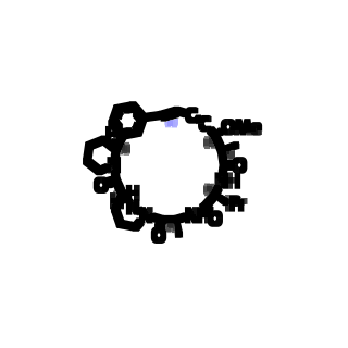 CO[C@@H]1CC/C=C/c2cccc(c2)[C@@H]2CCCCN2C(=O)[C@@H]2CCCN(N2)C(=O)[C@H](C)NC(=O)[C@H](C(C)C)NC(=O)[C@@H]1C